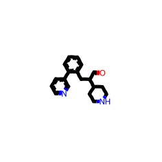 O=CC(Cc1ccccc1-c1cccnc1)C1CCNCC1